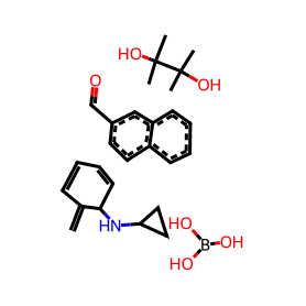 C=C1C=CC=CC1NC1CC1.CC(C)(O)C(C)(C)O.O=Cc1ccc2ccccc2c1.OB(O)O